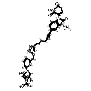 Cn1c(=O)n(C2CCC(=O)NC2=O)c2ccc(C#CCCCCc3cn(Cc4cccc(N5C[C@H]6C[C@@H]5CN6C(=O)O)n4)nn3)cc21